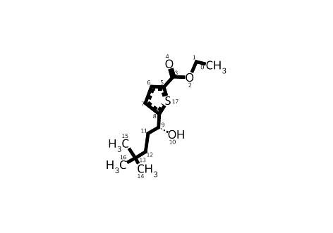 CCOC(=O)c1ccc([C@H](O)CCC(C)(C)C)s1